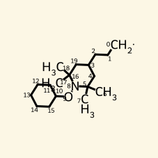 [CH2]CCC1CC(C)(C)N(OC2CCCCC2)C(C)(C)C1